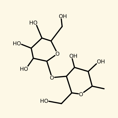 CC1OC(CO)C(OC2OC(CO)C(O)C(O)C2O)C(O)C1O